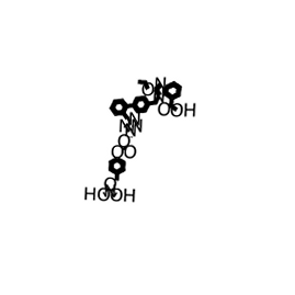 CCOc1nc2cccc(C(=O)O)c2n1Cc1ccc(-c2ccccc2-c2nnn(COC(=O)Oc3ccc(CON(O)O)cc3)n2)cc1